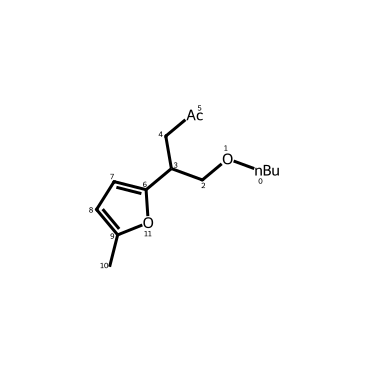 CCCCOCC(CC(C)=O)c1ccc(C)o1